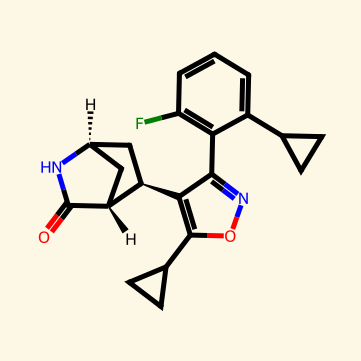 O=C1N[C@@H]2C[C@@H]1[C@H](c1c(-c3c(F)cccc3C3CC3)noc1C1CC1)C2